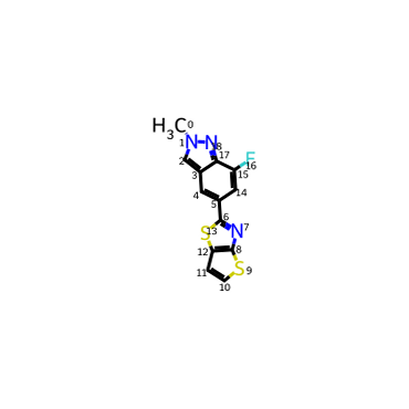 Cn1cc2cc(-c3nc4sccc4s3)cc(F)c2n1